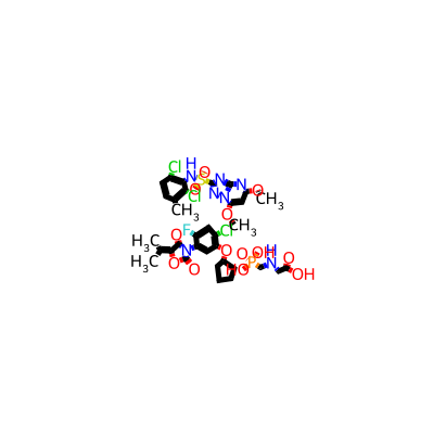 CC(C)=C1OC(=O)N(c2cc(OC3CCCC3)c(Cl)cc2F)C1=O.COc1cc(OC)n2nc(S(=O)(=O)Nc3c(Cl)ccc(C)c3Cl)nc2n1.O=C(O)CNCP(=O)(O)O